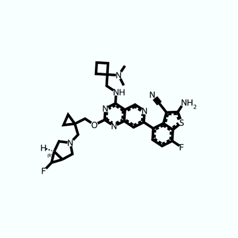 CN(C)C1(CNc2nc(OCC3(CN4CC5C(F)[C@H]5C4)CC3)nc3cc(-c4ccc(F)c5sc(N)c(C#N)c45)ncc23)CCC1